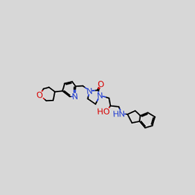 O=C1N(Cc2ccc(C3CCOCC3)cn2)CCN1CC(O)CNC1Cc2ccccc2C1